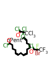 CCCCC/C=C\C/C=C\C/C=C\C/C=C\CCCC(=O)Cl.O=C(Cl)C(Cl)(Cl)C(Cl)(Cl)Cl.O=C(Cl)C(F)(Br)C(F)(F)F